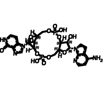 Nc1ccnc2c1ccn2[C@@H]1O[C@@H]2COP(=O)(O)O[C@@H]3[C@H](O)[C@@H](COP(=O)(O)O[C@H]2[C@H]1O)O[C@H]3n1cnc2c(=O)[nH]ccc21